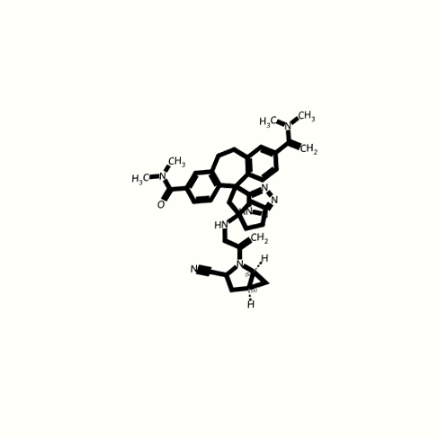 C=C(c1ccc2c(c1)CCc1cc(C(=O)N(C)C)ccc1C2(CC1(NCC(=C)N2C(C#N)C[C@@H]3C[C@@H]32)CCCC1)c1nnn[nH]1)N(C)C